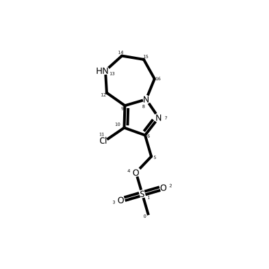 CS(=O)(=O)OCc1nn2c(c1Cl)CNCCC2